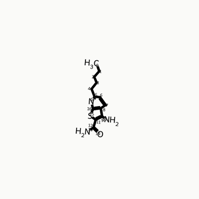 CCCCCc1ccc2c(N)c(C(N)=O)sc2n1